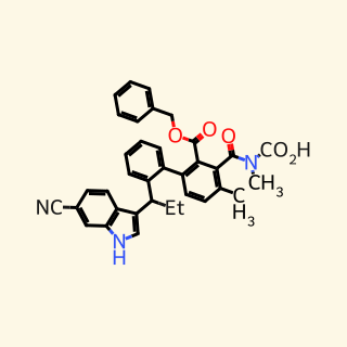 CCC(c1ccccc1-c1ccc(C)c(C(=O)N(C)C(=O)O)c1C(=O)OCc1ccccc1)c1c[nH]c2cc(C#N)ccc12